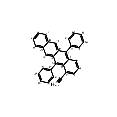 C#Cc1cccc2c(-c3ccccc3)c3cc4ccccc4cc3c(-c3ccccc3)c12